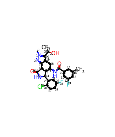 Cn1nc2c3c(c(NC(=O)c4cc(F)cc(C(F)(F)F)c4)cc2c1C(O)C(F)(F)F)C(c1cc(F)ccc1Cl)NC3=O